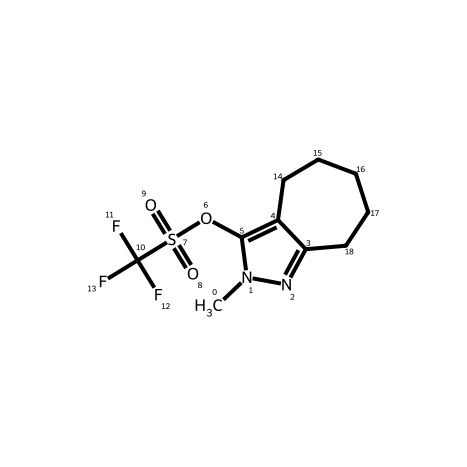 Cn1nc2c(c1OS(=O)(=O)C(F)(F)F)CCCCC2